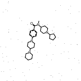 CN(C(=O)c1ccc(N2CCC(N3CCCCC3)CC2)cc1)C1CCN(C2CCCC2)CC1